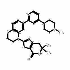 CN1CCN(c2ccnc(-c3ccc4c(c3)N(c3nc5c(s3)C(=O)NC(C)(C)C5)CCO4)c2)CC1